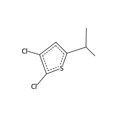 CC(C)c1cc(Cl)c(Cl)s1